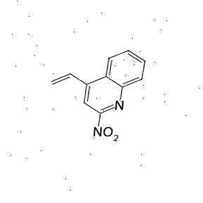 C=Cc1cc([N+](=O)[O-])nc2ccccc12